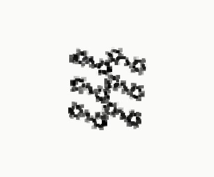 C(=Cc1ccnc(-c2cc(C=Cc3ccncc3)ccn2)c1)c1ccncc1.C(=Cc1ccnc(-c2cc(C=Cc3ccncc3)ccn2)c1)c1ccncc1.C(=Cc1ccnc(-c2cc(C=Cc3ccncc3)ccn2)c1)c1ccncc1.[Fe+3]